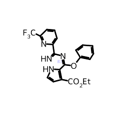 CCOC(=O)c1cc[nH]c1/C(=N\C(=N)c1cccc(C(F)(F)F)n1)Oc1ccccc1